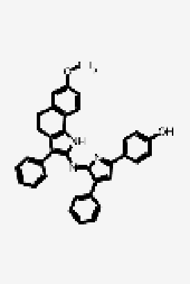 COc1ccc2c(c1)CCc1c-2[nH]c(/N=C2\N=C(c3ccc(O)cc3)C=C2c2ccccc2)c1-c1ccccc1